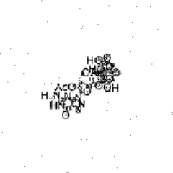 CC(=O)OC[C@H]1[C@@H](OC(C)=O)[C@H](n2nnc3c(=O)[nH]c(N)nc32)O[C@@H]1COP(=O)(O)OP(=O)(O)OP(=O)(O)O